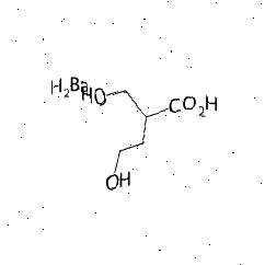 O=C(O)C(CO)CCO.[BaH2]